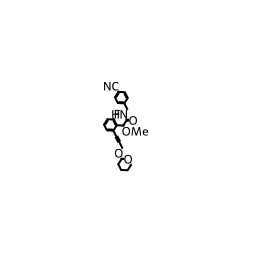 COC(C(=O)NCc1ccc(C#N)cc1)c1c(F)cccc1C#CCOC1CCCCO1